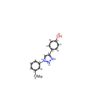 COc1cccc(-n2cc(-c3ccc(O)cc3)nn2)c1